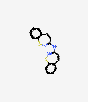 C1=Cc2ccccc2SN=C1[N]C1=NSc2ccccc2C=C1